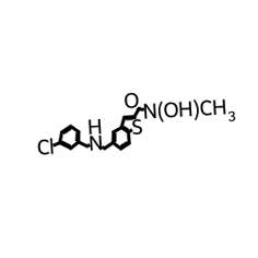 CN(O)C(=O)c1cc2cc(CNCc3cccc(Cl)c3)ccc2s1